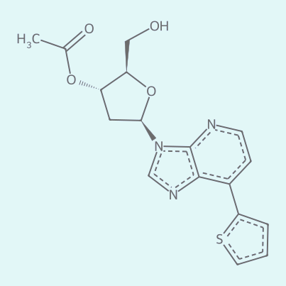 CC(=O)O[C@H]1C[C@H](n2cnc3c(-c4cccs4)ccnc32)O[C@@H]1CO